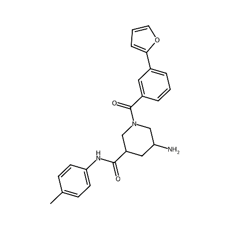 Cc1ccc(NC(=O)C2CC(N)CN(C(=O)c3cccc(-c4ccco4)c3)C2)cc1